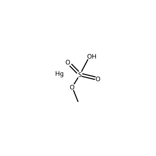 COS(=O)(=O)O.[Hg]